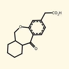 O=C(O)Cc1ccc2c(c1)OCC1CCCCC1C2=O